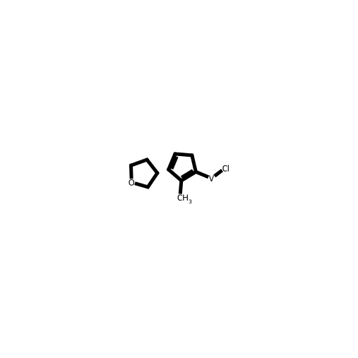 C1CCOC1.CC1=[C]([V][Cl])CC=C1